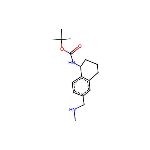 CNCc1ccc2c(c1)CCCC2NC(=O)OC(C)(C)C